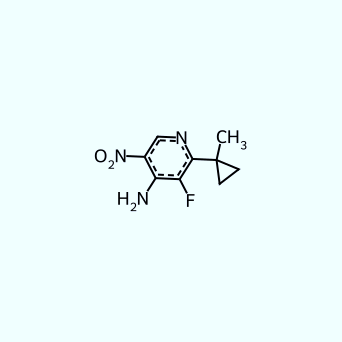 CC1(c2ncc([N+](=O)[O-])c(N)c2F)CC1